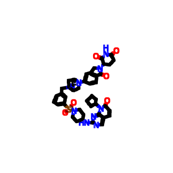 O=C1CCC(N2Cc3cc(N4CC5CCC4CN5Cc4cccc(S(=O)(=O)N5CCC(Nc6ncc7ccc(=O)n(C8CCCC8)c7n6)CC5)c4)ccc3C2=O)C(=O)N1